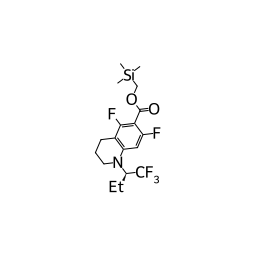 CC[C@@H](N1CCCc2c1cc(F)c(C(=O)OC[Si](C)(C)C)c2F)C(F)(F)F